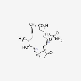 CC#CCC(C)C(O)/C=C/[C@H]1CCC(=O)[C@@H]1C/C=C\CCCC(=O)O.CS(N)(=O)=O